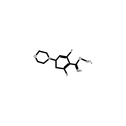 N=C(ON)C1=C(F)CC(N2CCOCC2)C=C1F